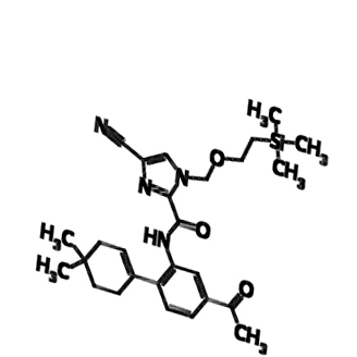 CC(=O)c1ccc(C2=CCC(C)(C)CC2)c(NC(=O)c2nc(C#N)cn2COCC[Si](C)(C)C)c1